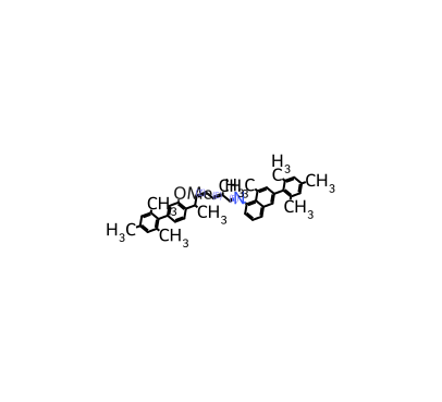 COc1cc(-c2c(C)cc(C)cc2C)ccc1C(C)\C=C/C=C(C)/C=N/c1cccc2cc(-c3c(C)cc(C)cc3C)cc(C)c12